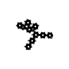 c1cncc(-c2ccc(-c3cc(-n4c5ccccc5c5c6c7ccccc7n7c8ccccc8nc7c6ccc54)cc(-c4ccc(-c5cccnc5)cc4)n3)cc2)c1